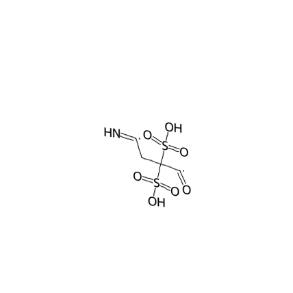 N=[C]CC([C]=O)(S(=O)(=O)O)S(=O)(=O)O